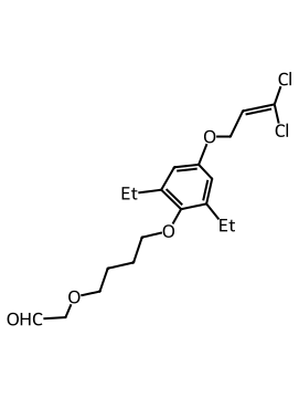 CCc1cc(OCC=C(Cl)Cl)cc(CC)c1OCCCCOCC=O